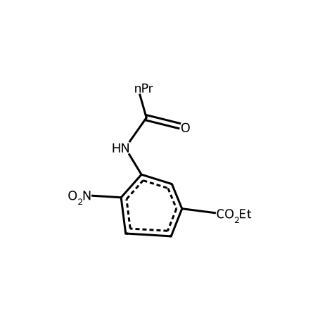 CCCC(=O)Nc1cc(C(=O)OCC)ccc1[N+](=O)[O-]